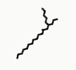 CCCCCCCCCCC[CH]CC(CCC)CCCCC